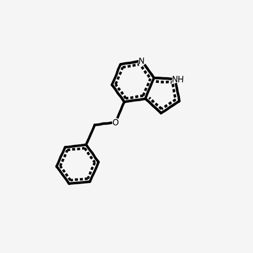 c1ccc(COc2ccnc3[nH]ccc23)cc1